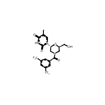 Cc1cn([C@H]2CN(C(=O)c3cc(C(F)(F)F)cc(C(F)(F)F)c3)CC(CO)O2)c(=O)[nH]c1=O